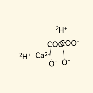 O=C([O-])[O-].O=C([O-])[O-].[2H+].[2H+].[Ca+2]